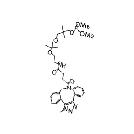 COP(OC)OCC(C)(C)COCC(C)(C)OCCNC(=O)CCC(=O)N1Cc2ccccc2-c2c(nnn2C)-c2ccccc21